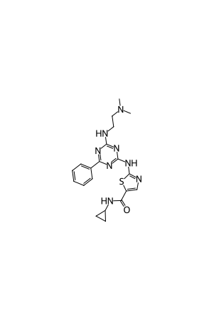 CN(C)CCNc1nc(Nc2ncc(C(=O)NC3CC3)s2)nc(-c2ccccc2)n1